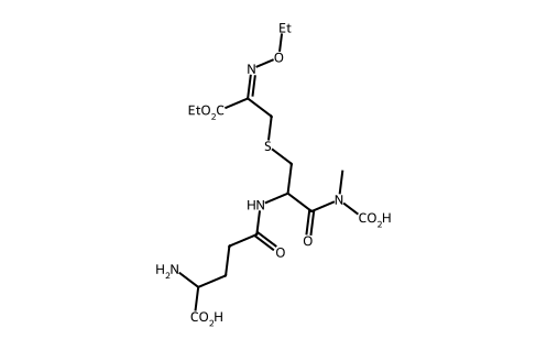 CCON=C(CSCC(NC(=O)CCC(N)C(=O)O)C(=O)N(C)C(=O)O)C(=O)OCC